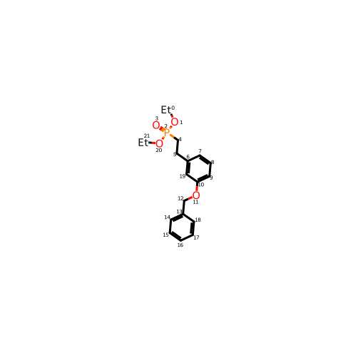 CCOP(=O)(CCc1cccc(OCc2ccccc2)c1)OCC